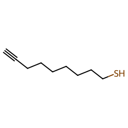 C#CCCCCCCCS